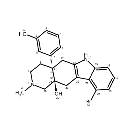 CN1CC[C@@]2(c3cccc(O)c3)Cc3[nH]c4cccc(Br)c4c3C[C@]2(O)C1